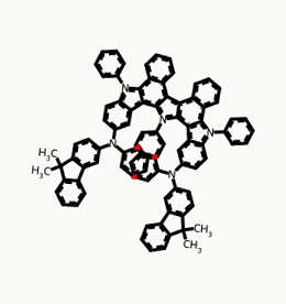 CC1(C)c2ccccc2-c2cc(N(c3ccccc3)c3ccc4c(c3)c3c(c5ccccc5c5c6c7ccccc7c7c(c8cc(N(c9ccccc9)c9ccc%10c(c9)-c9ccccc9C%10(C)C)ccc8n7-c7ccccc7)c6n(-c6ccccc6)c53)n4-c3ccccc3)ccc21